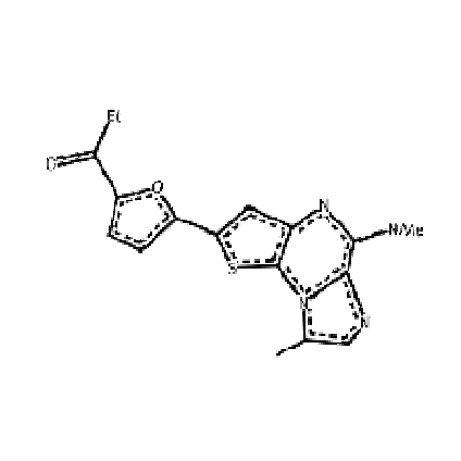 CCC(=O)c1ccc(-c2cc3nc(NC)c4ncc(C)n4c3s2)o1